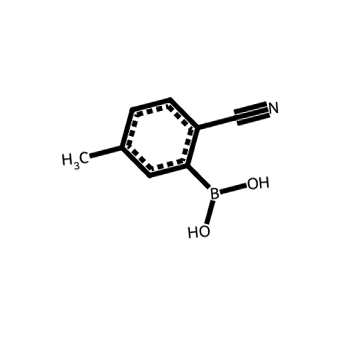 Cc1ccc(C#N)c(B(O)O)c1